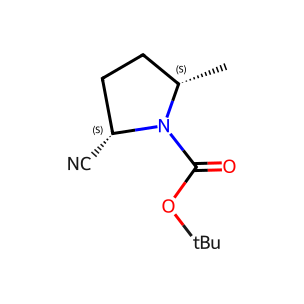 C[C@H]1CC[C@@H](C#N)N1C(=O)OC(C)(C)C